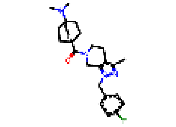 Cc1nn(Cc2ccc(F)cc2)c2c1CCN(C(=O)C13CCC(N(C)C)(CC1)CC3)C2